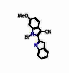 CCn1c(C2=Nc3ccccc3C2)c(C#N)c2ccc(OC)cc21